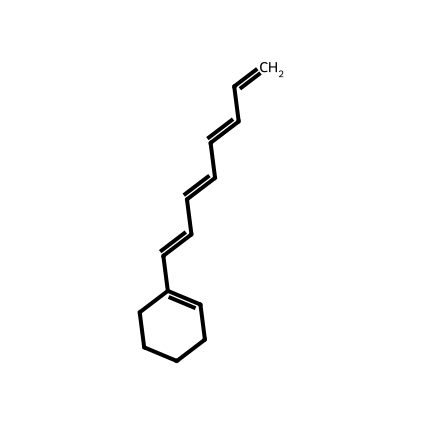 C=CC=CC=CC=CC1=CCCCC1